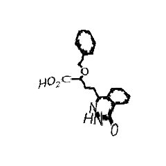 O=C(O)C(CCc1n[nH]c(=O)c2ccccc12)OCc1ccccc1